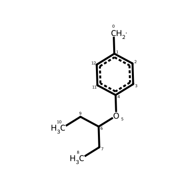 [CH2]c1ccc(OC(CC)CC)cc1